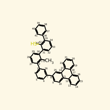 Cc1c(-c2cccc(-c3ccc4c5ccccc5c5ccccc5c4c3)c2)cccc1-c1cccc(-c2ccccc2)c1S